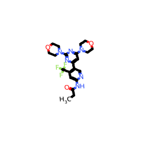 CCC(=O)Nc1cc(C(F)(F)F)c(-c2cc(N3CCOCC3)nc(N3CCOCC3)n2)cn1